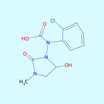 CN1CC(O)N(N(C(=O)O)c2ccccc2Cl)C1=O